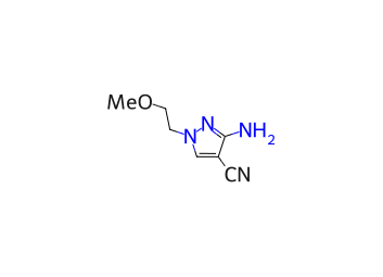 COCCn1cc(C#N)c(N)n1